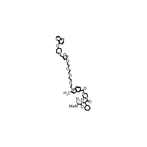 CN[C@@H](C)C(=O)NC(C(=O)N1CCN(C(=O)c2ccc3c(c2)cc(C)n3CCOCCOCCOCCOc2cc(CN3CCC(Oc4ccnc5ccsc45)CC3)on2)CC1)C1CCCCC1